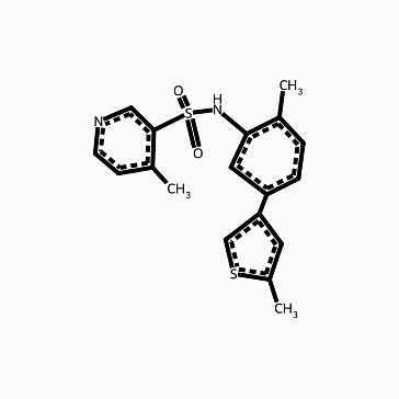 Cc1cc(-c2ccc(C)c(NS(=O)(=O)c3cnccc3C)c2)cs1